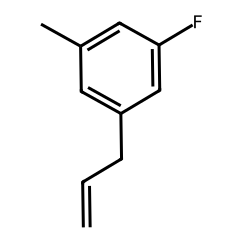 C=CCc1cc(C)cc(F)c1